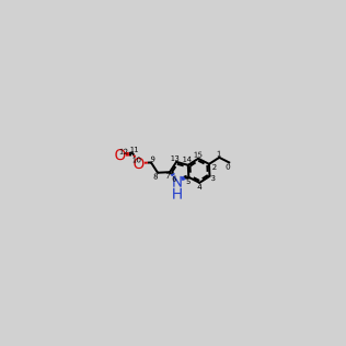 CCc1ccc2[nH]c(CCOC=O)cc2c1